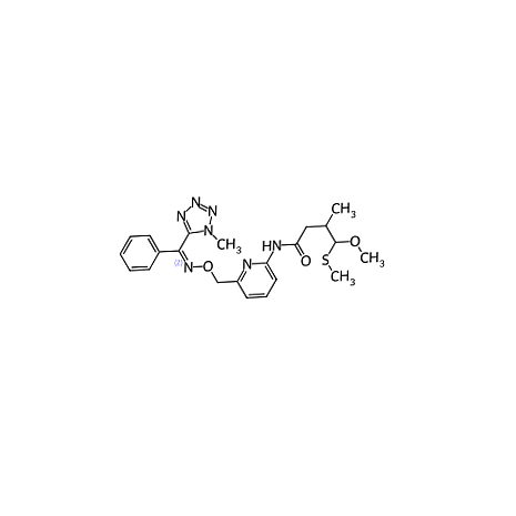 COC(SC)C(C)CC(=O)Nc1cccc(CO/N=C(/c2ccccc2)c2nnnn2C)n1